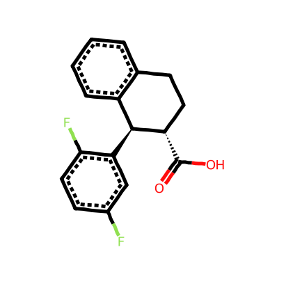 O=C(O)[C@H]1CCc2ccccc2[C@@H]1c1cc(F)ccc1F